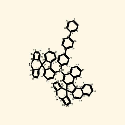 c1ccc(-c2ccc(-c3ccc(N(c4cccc5c4-c4ccccc4C54c5ccccc5Oc5ccccc54)c4cc5c(c6ccccc46)-c4c(ccc6ccccc46)C54c5ccccc5Oc5ccccc54)cc3)cc2)cc1